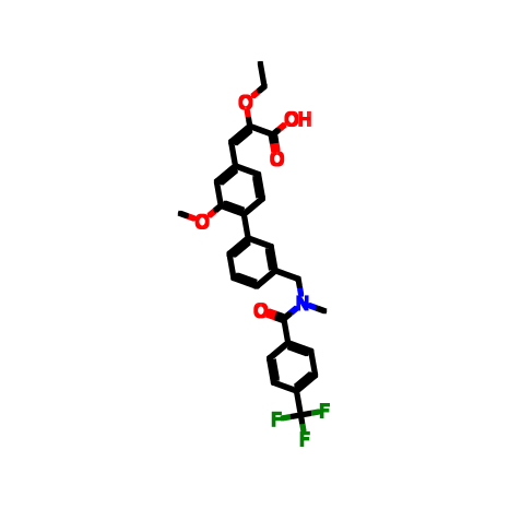 CCO/C(=C/c1ccc(-c2cccc(CN(C)C(=O)c3ccc(C(F)(F)F)cc3)c2)c(OC)c1)C(=O)O